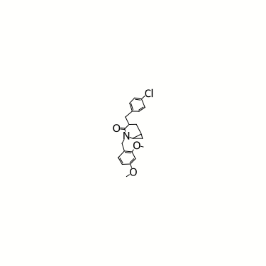 COc1ccc(CN2C(=O)C(Cc3ccc(Cl)cc3)CC3CC32)c(OC)c1